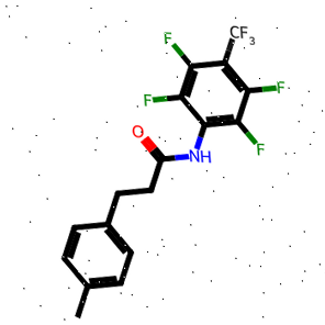 Cc1ccc(CCC(=O)Nc2c(F)c(F)c(C(F)(F)F)c(F)c2F)cc1